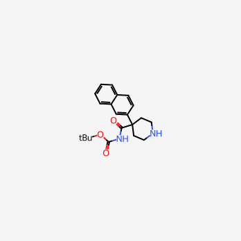 CC(C)(C)OC(=O)NC(=O)C1(c2ccc3ccccc3c2)CCNCC1